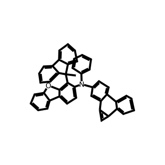 CC1(c2c(N(c3ccccc3)c3ccc4c(c3)C3=CC3c3ccccc3-4)ccc3c2oc2ccccc23)c2ccccc2-c2ccccc21